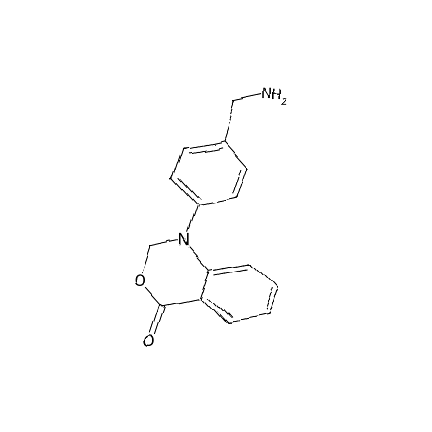 NCc1ccc(N2COC(=O)c3ccccc32)cc1